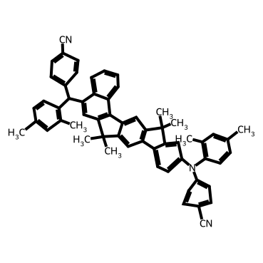 Cc1ccc(C(c2ccc(C#N)cc2)c2cc3c(c4ccccc24)-c2cc4c(cc2C3(C)C)-c2ccc(N(c3ccc(C#N)cc3)c3ccc(C)cc3C)cc2C4(C)C)c(C)c1